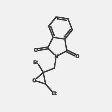 CCC1OC1(CC)CN1C(=O)c2ccccc2C1=O